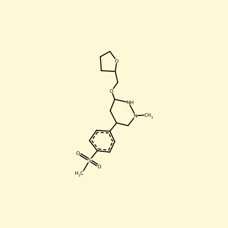 CN1CC(c2ccc(S(C)(=O)=O)cc2)CC(OCC2CCCO2)N1